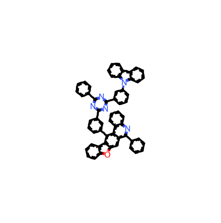 c1ccc(-c2nc(-c3cccc(-c4c5c(cc6c(-c7ccccc7)nc7ccccc7c46)oc4ccccc45)c3)nc(-c3cccc(-n4c5ccccc5c5ccccc54)c3)n2)cc1